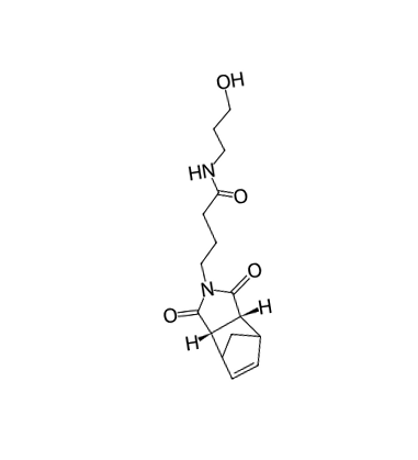 O=C(CCCN1C(=O)[C@@H]2C3C=CC(C3)[C@@H]2C1=O)NCCCO